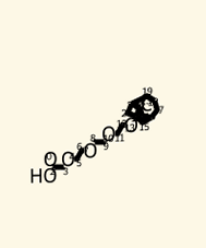 O=C(O)COCCOCCOCCOC12CC3CC4CC(C1)C2(C4)C3